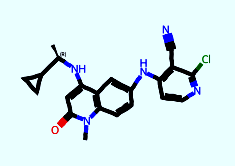 C[C@@H](Nc1cc(=O)n(C)c2ccc(Nc3ccnc(Cl)c3C#N)cc12)C1CC1